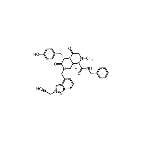 C#CCn1cc2c(CN3C[C@H]4N(C(=O)CN(C)N4C(=O)NCc4ccccc4)[C@@H](Cc4ccc(O)cc4)C3=O)cccc2n1